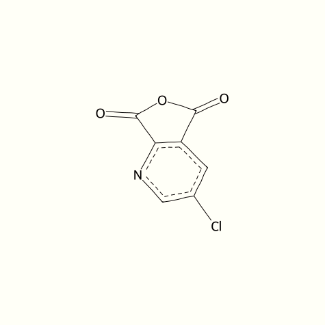 O=C1OC(=O)c2ncc(Cl)cc21